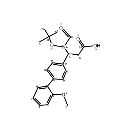 COc1ccccc1-c1ccc([C@H](CC(=O)O)N(C=O)OC(C)(C)C)cc1